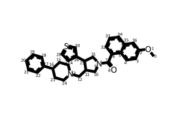 COc1ccc2c(C(=O)N3CC(CN4CCC(c5ccccc5)CC4)C(c4ccsc4)C3)cccc2c1